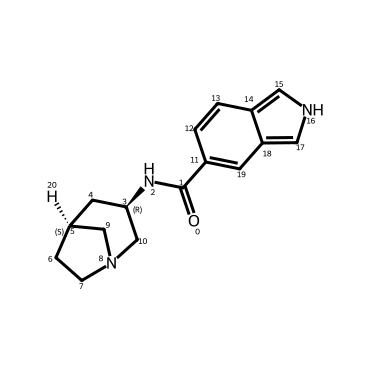 O=C(N[C@@H]1C[C@@H]2CCN(C2)C1)c1ccc2c[nH]cc2c1